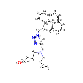 CCCN(CCC[SiH]=O)Cc1cn(Cc2cc3cccc4ccc5cccc2c5c43)nn1